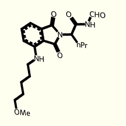 CCCC(C(=O)NC=O)N1C(=O)c2cccc(NCCCCCOC)c2C1=O